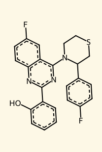 Oc1ccccc1-c1nc(N2CCSCC2c2ccc(F)cc2)c2cc(F)ccc2n1